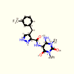 CCCn1c(=O)c(NC(=O)c2n[nH]cc2Cc2cccc(C(F)(F)F)c2)c(N)n(CC)c1=O